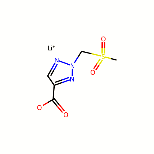 CS(=O)(=O)Cn1ncc(C(=O)[O-])n1.[Li+]